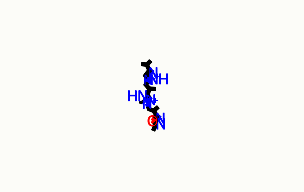 Cc1nnc(C(C)C[n+]2c[nH]c(C(C)C[n+]3cc(C(C)C)n[nH]3)n2)o1